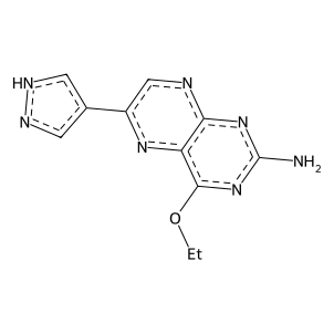 CCOc1nc(N)nc2ncc(-c3cn[nH]c3)nc12